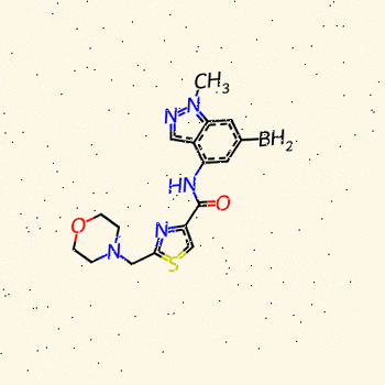 Bc1cc(NC(=O)c2csc(CN3CCOCC3)n2)c2cnn(C)c2c1